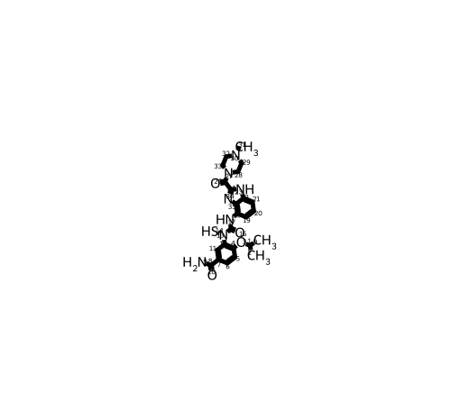 CC(C)Oc1ccc(C(N)=O)cc1N(S)C(=O)Nc1cccc2[nH]c(C(=O)N3CCN(C)CC3)nc12